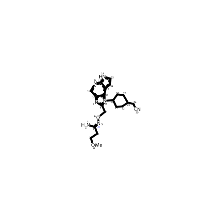 COCC/C(N)=N/OCc1nc2cnc3[nH]ccc3c2n1C1CCC(CC#N)CC1